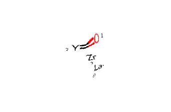 [La].[O]=[Y].[Zr]